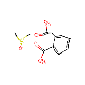 C[S+](C)[O-].O=C(O)c1ccccc1C(=O)O